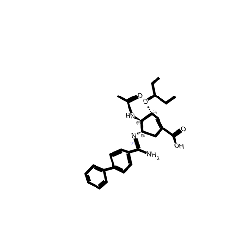 CCC(CC)O[C@@H]1C=C(C(=O)O)C[C@H](/N=C(\N)c2ccc(-c3ccccc3)cc2)[C@H]1NC(C)=O